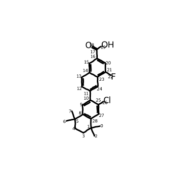 CC1(C)CCC(C)(C)c2cc(-c3ccc4cc(C(=O)O)cc(F)c4c3)c(Cl)cc21